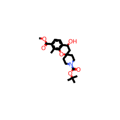 COC(=O)c1ccc2c(c1C)OC1(CCN(C(=O)OC(C)(C)C)CC1)CC2O